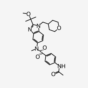 COC(C)(C)c1nc2cc(N(C)S(=O)(=O)c3ccc(NC(C)=O)cc3)ccc2n1CC1CCOCC1